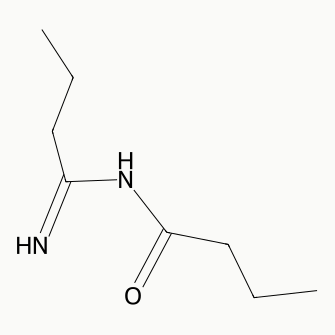 CCCC(=N)NC(=O)CCC